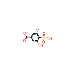 O=C([O-])c1ccc(S(=O)(=O)O)c(O)c1.[K+]